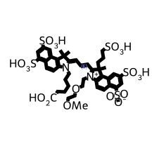 COCCOCC[N+]1=C(/C=C/C=C2N(CCCCCC(=O)O)c3ccc4c(S(=O)(=O)O)cc(S(=O)(=O)O)cc4c3C2(C)C)C(C)(CCCS(=O)(=O)O)c2c1ccc1c(S(=O)(=O)[O-])cc(S(=O)(=O)O)cc21